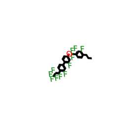 CCCc1ccc(C(F)(F)Oc2ccc(-c3ccc(/C(F)=C(\F)C(F)(F)F)c(F)c3)c(F)c2)c(F)c1F